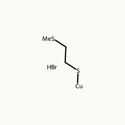 Br.CSCC[S][Cu]